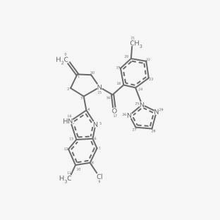 C=C1CC(c2nc3cc(Cl)c(C)cc3[nH]2)N(C(=O)c2cc(C)ccc2-n2nccn2)C1